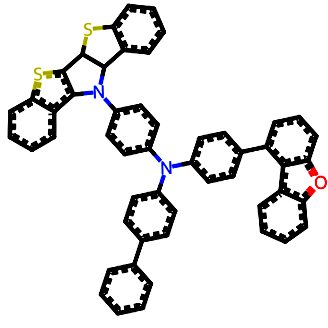 c1ccc(-c2ccc(N(c3ccc(-c4cccc5oc6ccccc6c45)cc3)c3ccc(N4c5c(sc6ccccc56)C5Sc6ccccc6C54)cc3)cc2)cc1